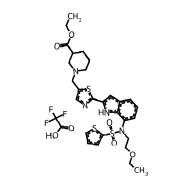 CCOCCN(c1cccc2cc(-c3ncc(CN4CCCC(C(=O)OCC)C4)s3)[nH]c12)S(=O)(=O)c1cccs1.O=C(O)C(F)(F)F